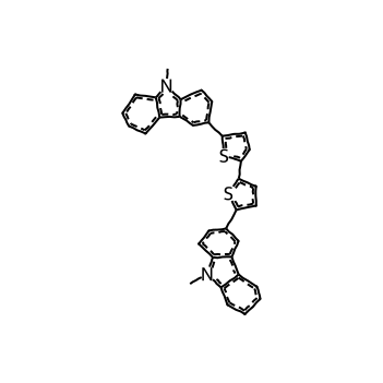 Cn1c2ccccc2c2cc(-c3ccc(-c4ccc(-c5ccc6c(c5)c5ccccc5n6C)s4)s3)ccc21